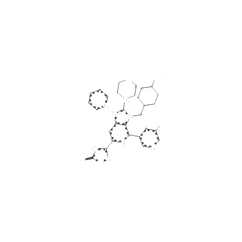 CC1CCC(Cn2c(N3CCOC[C@H]3c3ccccn3)nc3cc(-c4noc(=O)[nH]4)nc(-c4cncc(Cl)c4)c32)CC1